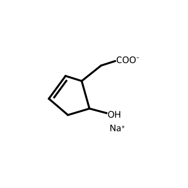 O=C([O-])CC1C=CCC1O.[Na+]